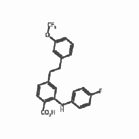 O=C(O)c1ccc(CCc2cccc(OC(F)(F)F)c2)cc1Nc1ccc(F)cc1